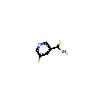 NC(=S)c1[c]c(F)cnc1